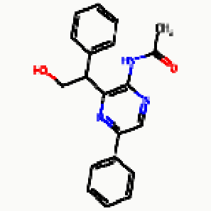 CC(=O)Nc1ncc(-c2ccccc2)nc1C(CO)c1ccccc1